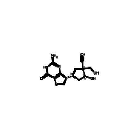 C#C[C@]1(CO)C[C@@H](n2cnc3c(=O)[nH]c(N)nc32)C[C@@H]1O